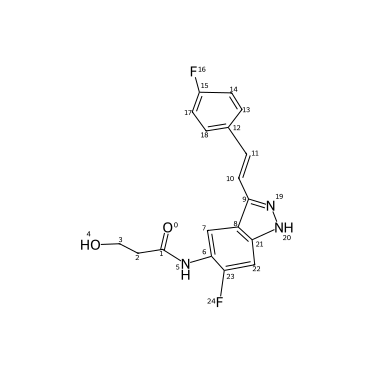 O=C(CCO)Nc1cc2c(C=Cc3ccc(F)cc3)n[nH]c2cc1F